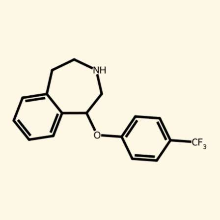 FC(F)(F)c1ccc(OC2CNCCc3ccccc32)cc1